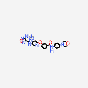 CCn1c(-c2nonc2N)nc2cnc(Oc3cccc(C(=O)Nc4ccc(N5CCOCC5)cc4)c3)cc21